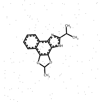 CC1Oc2c(c3[nH]c(C(C)C)nc3c3ccccc23)O1